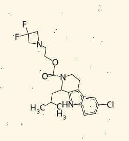 CC(C)CC1c2[nH]c3ccc(Cl)cc3c2CCN1C(=O)OCCN1CC(F)(F)C1